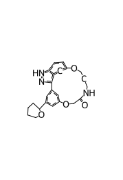 O=C1COc2cc(cc(C3CCCCO3)c2)-c2n[nH]c3ccc(cc23)OCCCN1